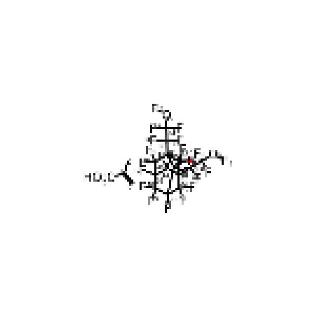 C=C(C)C(=O)O.FOC(F)(F)C(F)(F)C12C(F)(F)C3(F)C(F)(F)C(F)(C1(F)F)C(F)(F)C(C(F)(F)C(F)(F)OF)(C3(F)F)C2(F)F